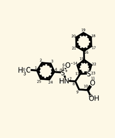 Cc1ccc([S@@+]([O-])NC(CC(=O)O)c2cc(-c3ccccc3)cs2)cc1